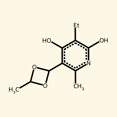 CCc1c(O)nc(C)c(C2OC(C)O2)c1O